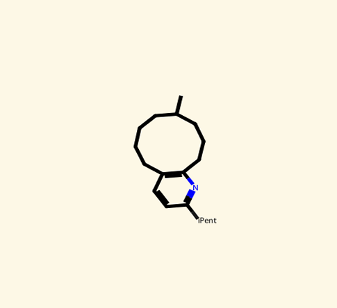 CCCC(C)c1ccc2c(n1)CCCC(C)CCCC2